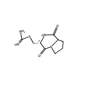 N=C(N)SC[C@@H]1NC(=O)C2CCCN2C1=O